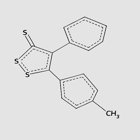 Cc1ccc(-c2ssc(=S)c2-c2ccccc2)cc1